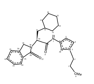 COCCn1ccc(NC(=O)[C@H](CC2CCCCC2)N2Cc3ccccc3C2=O)n1